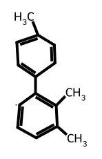 Cc1ccc(-c2[c]ccc(C)c2C)cc1